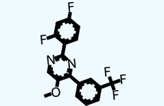 COc1cnc(-c2ccc(F)cc2F)nc1-c1cccc(C(F)(F)F)c1